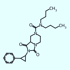 CCCCN(CCCC)C(=O)N1CCN2C(=O)N(C3CC3c3ccccc3)C(=O)C2C1